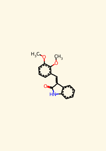 COc1cccc(C=C2C(=O)Nc3ccccc32)c1OC